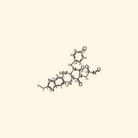 CCc1nc2ccc(NC3N(N)C(=O)N(CC(=O)N=O)C(=O)N3Cc3ccc(Cl)cc3)cc2s1